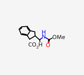 COC(=O)NC(C(=O)O)C1Cc2ccccc2C1